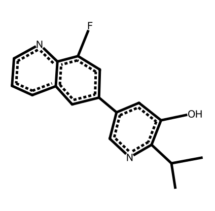 CC(C)c1ncc(-c2cc(F)c3ncccc3c2)cc1O